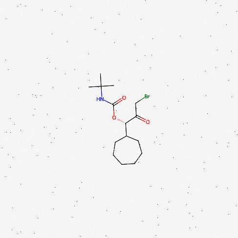 CC(C)(C)NC(=O)O[C@H](C(=O)CBr)C1CCCCCC1